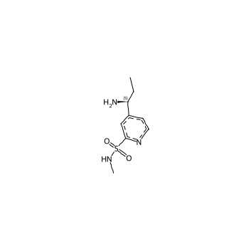 CC[C@H](N)c1ccnc(S(=O)(=O)NC)c1